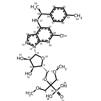 COCC(COC)(OC[C@H]1O[C@@H](n2ncc3c(N[C@@H](C)c4ccc(C)cc4)cc(Cl)nc32)[C@H](O)[C@@H]1O)P(=O)(O)O